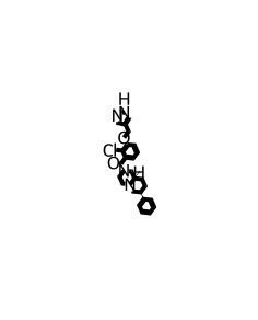 O=C(c1cccc(OCc2cn[nH]c2)c1Cl)N1CCN2C[C@@H](c3ccccc3)CC[C@@H]2C1